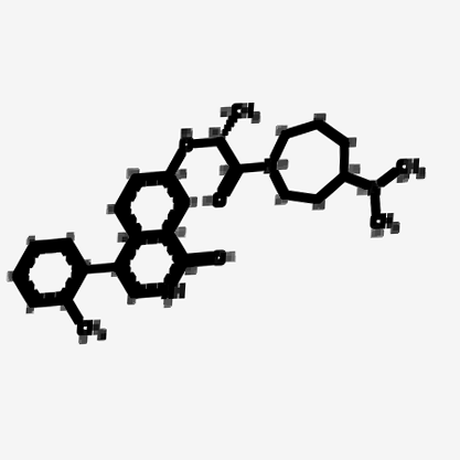 Cc1ccccc1-c1c[nH]c(=O)c2cc(O[C@H](C)C(=O)N3CCCC(N(C)C)CC3)ccc12